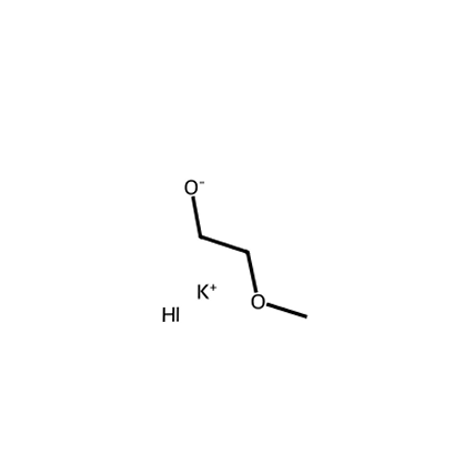 COCC[O-].I.[K+]